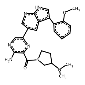 COc1ccccc1-c1c[nH]c2ncc(-c3cnc(N)c(C(=O)N4CCC(N(C)C)C4)n3)cc12